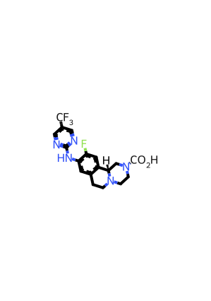 O=C(O)N1CCN2CCc3cc(Nc4ncc(C(F)(F)F)cn4)c(F)cc3[C@@H]2C1